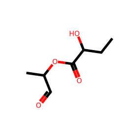 CCC(O)C(=O)OC(C)C=O